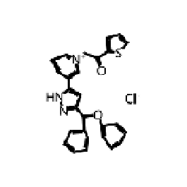 O=C(C[n+]1cccc(-c2cc(C(Oc3ccccc3)c3ccccc3)n[nH]2)c1)c1cccs1.[Cl-]